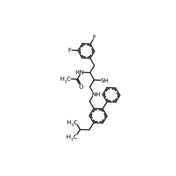 CC(=O)NC(Cc1cc(F)cc(F)c1)C(S)CNCc1cc(CC(C)C)ccc1-c1ccccc1